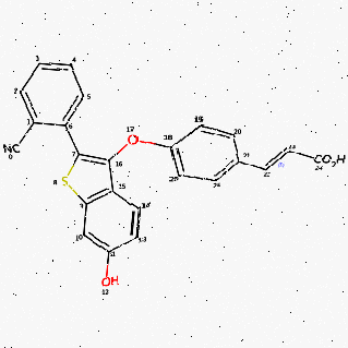 N#Cc1ccccc1-c1sc2cc(O)ccc2c1Oc1ccc(/C=C/C(=O)O)cc1